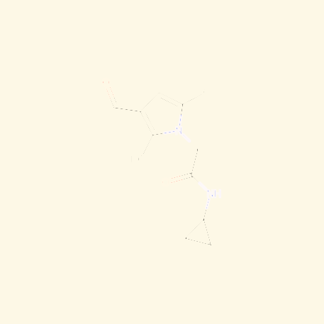 Cc1cc(C=O)c(C)n1CC(=O)NC1CC1